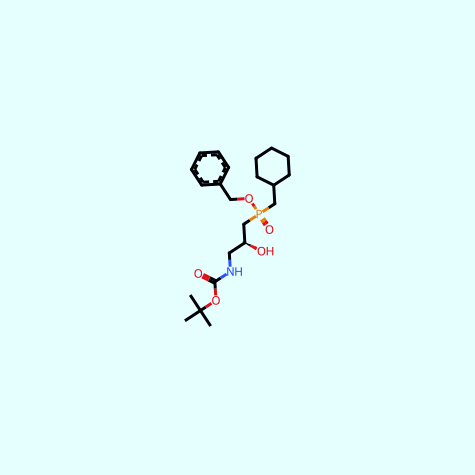 CC(C)(C)OC(=O)NC[C@H](O)CP(=O)(CC1CCCCC1)OCc1ccccc1